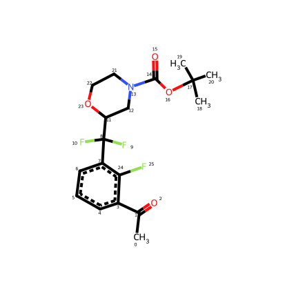 CC(=O)c1cccc(C(F)(F)C2CN(C(=O)OC(C)(C)C)CCO2)c1F